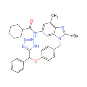 CCCCc1nc2c(C)cc(NC(=O)C3CCCCC3)cc2n1Cc1ccc(OC(c2ccccc2)c2nnn[nH]2)cc1